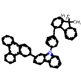 CC1(C)c2ccccc2-c2c(-c3ccc(-n4c5ccccc5c5ccc(-c6ccc7c8ccccc8c8ccccc8c7c6)cc54)cc3)cccc21